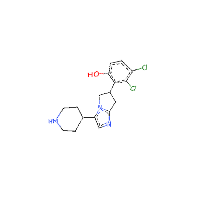 Oc1ccc(Cl)c(Cl)c1C1Cc2ncc(C3CCNCC3)n2C1